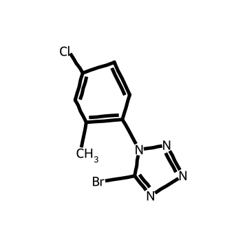 Cc1cc(Cl)ccc1-n1nnnc1Br